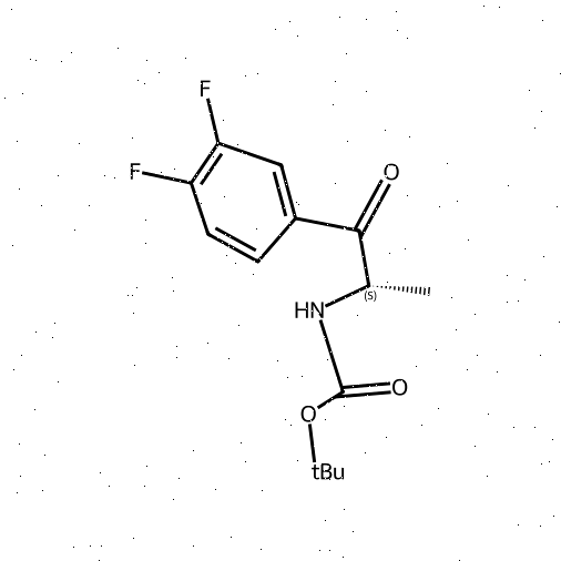 C[C@H](NC(=O)OC(C)(C)C)C(=O)c1ccc(F)c(F)c1